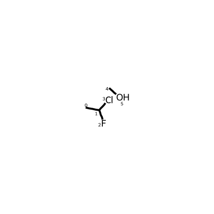 CC(F)Cl.CO